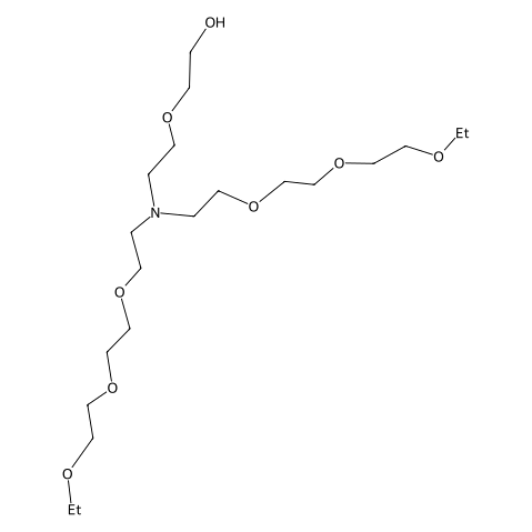 CCOCCOCCOCCN(CCOCCO)CCOCCOCCOCC